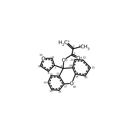 C=C(C)C(=O)OC1(c2ccoc2)c2ccccc2Oc2ccccc21